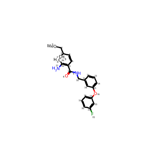 COCC(C)/C=C\C(C(=O)NCc1cccc(Oc2cccc(F)c2)c1)=C(/C)N